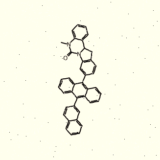 CN1C(=O)N2c3cc(-c4c5ccccc5c(-c5ccc6ccccc6c5)c5ccccc45)ccc3CC2c2ccccc21